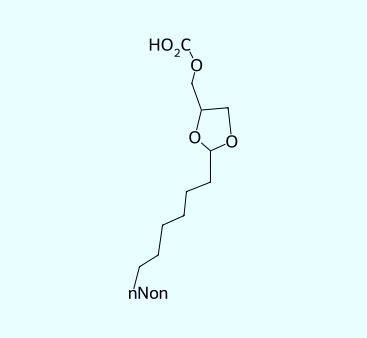 CCCCCCCCCCCCCCCC1OCC(COC(=O)O)O1